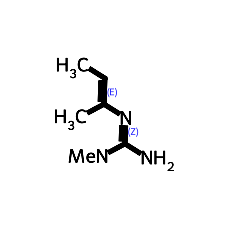 C/C=C(C)/N=C(/N)NC